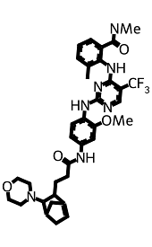 CNC(=O)c1cccc(C)c1Nc1nc(Nc2ccc(NC(=O)CCC3C4=CCC(C4)C3N3CCOCC3)cc2OC)ncc1C(F)(F)F